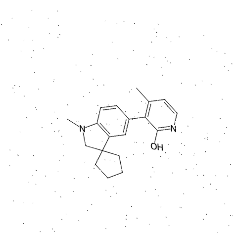 Cc1ccnc(O)c1-c1ccc2c(c1)C1(CCCC1)CN2C